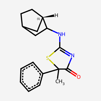 CC1(c2ccccc2)SC(NC2CC3CC[C@H]2C3)=NC1=O